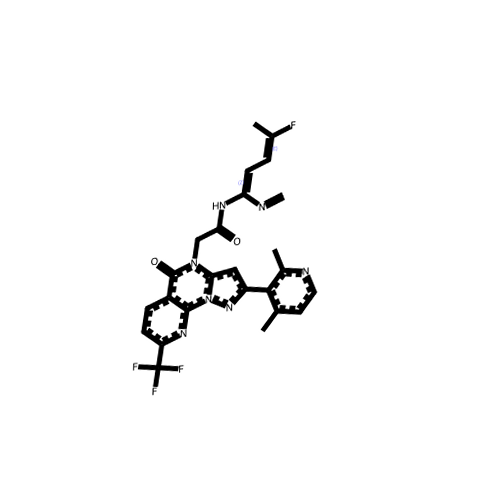 C=N/C(=C\C=C(/C)F)NC(=O)Cn1c(=O)c2ccc(C(F)(F)F)nc2n2nc(-c3c(C)ccnc3C)cc12